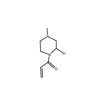 C=CC(=O)N1CCN(C)CC1CC